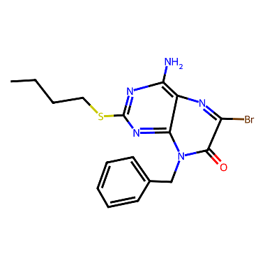 CCCCSc1nc(N)c2nc(Br)c(=O)n(Cc3ccccc3)c2n1